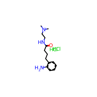 CN(C)CCNC(=O)CCCc1ccccc1N.Cl.Cl